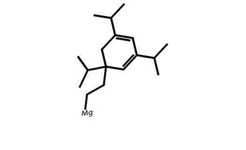 CC(C)C1=CC(C[CH2][Mg])(C(C)C)CC(C(C)C)=C1